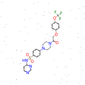 O=C(COc1ccc(OC(F)(F)F)cc1)N1CCN(c2ccc(S(=O)(=O)Nc3ccncn3)cc2)CC1